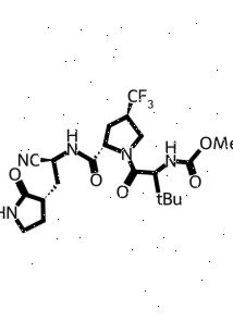 COC(=O)NC(C(=O)N1C[C@H](C(F)(F)F)C[C@H]1C(=O)N[C@H](C#N)C[C@@H]1CCNC1=O)C(C)(C)C